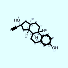 C#C[C@]1(O)C[C@H]2[C@@H]3CCc4cc(O)ccc4[C@H]3CC[C@]2(C)C1